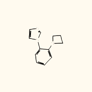 c1ccc(-n2ccnc2)c(N2CCC2)c1